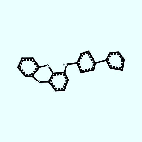 c1ccc(-c2ccc(Nc3cccc4c3Sc3ccccc3S4)cc2)cc1